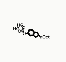 CCCCCCCCC1Cc2ccc(OB(OO)OO)cc2C1